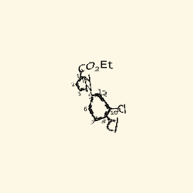 CCOC(=O)c1ccn(-c2ccc(Cl)c(Cl)c2)n1